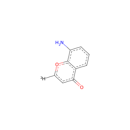 [2H]c1cc(=O)c2cccc(N)c2o1